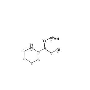 CCCCCOC(CO)C1CCCCN1